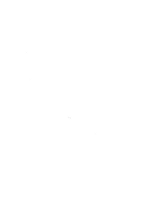 Cc1ccc(S(=O)(=O)N2CCC=C(CO)C2)cc1